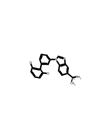 C[C@H](N)c1ccc2c(c1)ncn2-c1cccc(-c2c(Cl)cccc2Cl)c1